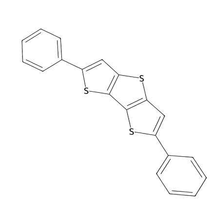 c1ccc(-c2cc3sc4cc(-c5ccccc5)sc4c3s2)cc1